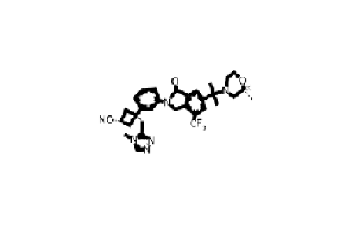 C[C@@H]1CN(C(C)(C)c2cc3c(c(C(F)(F)F)c2)CN(c2cccc([C@]4(Cc5nncn5C)C[C@@H](C#N)C4)c2)C3=O)CCO1